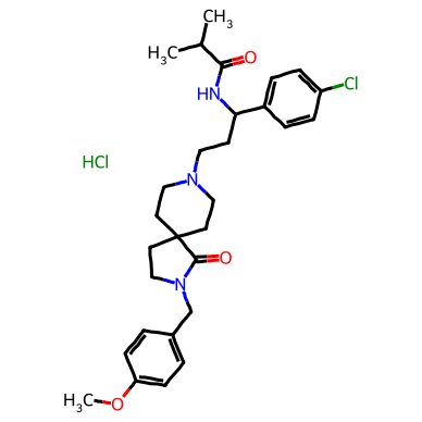 COc1ccc(CN2CCC3(CCN(CCC(NC(=O)C(C)C)c4ccc(Cl)cc4)CC3)C2=O)cc1.Cl